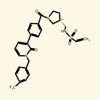 C=CS(=O)(=O)NC[C@H]1CCN(C(=O)c2ccc(-c3cccn(Cc4ccc(C(F)(F)F)cc4)c3=O)cc2)C1